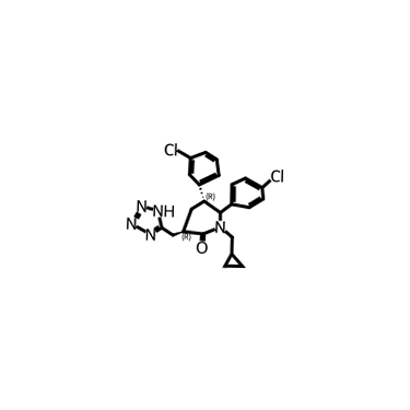 O=C1[C@@H](Cc2nnn[nH]2)C[C@H](c2cccc(Cl)c2)C(c2ccc(Cl)cc2)N1CC1CC1